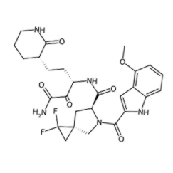 COc1cccc2[nH]c(C(=O)N3C[C@]4(C[C@H]3C(=O)N[C@@H](CC[C@@H]3CCCNC3=O)C(=O)C(N)=O)CC4(F)F)cc12